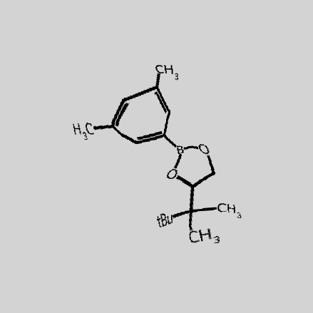 Cc1cc(C)cc(B2OCC(C(C)(C)C(C)(C)C)O2)c1